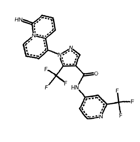 N=c1cccc2c(-n3ncc(C(=O)Nc4ccnc(C(F)(F)F)c4)c3C(F)(F)F)cccn12